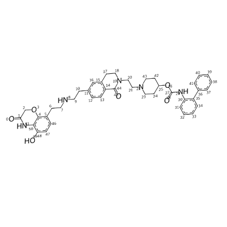 O=C1COc2c(CCNCCc3ccc4c(c3)CCN(CCN3CCC(OC(=O)Nc5ccccc5-c5ccccc5)CC3)C4=O)ccc(O)c2N1